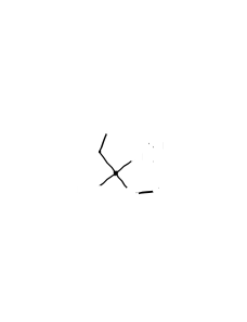 CC(=O)OC(C)(C)CO.N